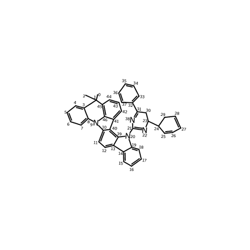 CC1(C)c2ccccc2-n2c3ccc4c5ccccc5n(C5=NC(C6C=CC=CC6)CC(c6ccccc6)=N5)c4c3c3cccc1c32